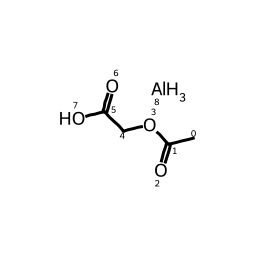 CC(=O)OCC(=O)O.[AlH3]